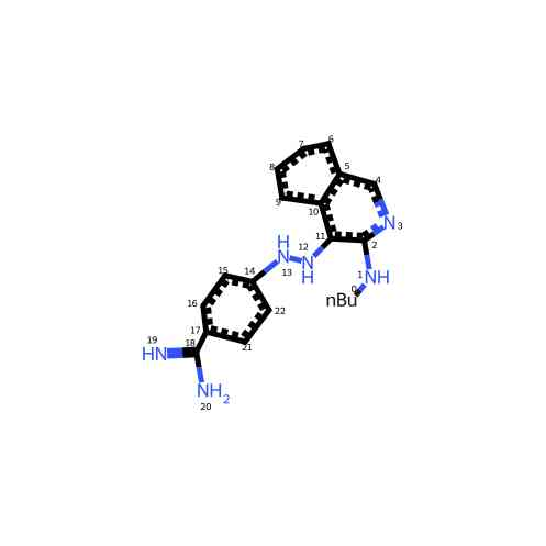 CCCCNc1ncc2ccccc2c1NNc1ccc(C(=N)N)cc1